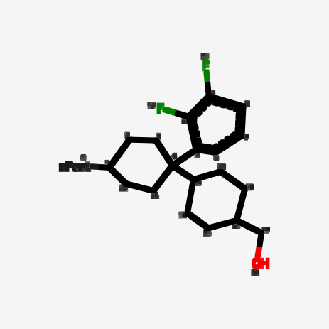 CCCCCC1CCC(c2cccc(F)c2F)(C2CCC(CO)CC2)CC1